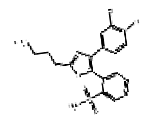 NS(=O)(=O)c1ccccc1-c1oc(CCCC(=O)O)nc1-c1ccc(Cl)c(Cl)c1